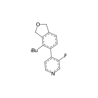 CCC(C)c1c(-c2ccncc2F)ccc2c1COC2